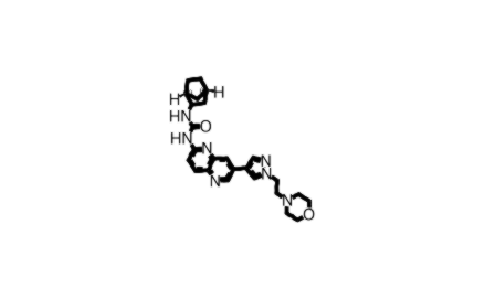 O=C(Nc1ccc2ncc(-c3cnn(CCN4CCOCC4)c3)cc2n1)NC1C[C@H]2CC[C@@H]1C2